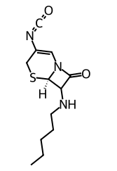 CCCCCNC1C(=O)N2C=C(N=C=O)CS[C@H]12